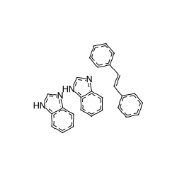 C(=Cc1ccccc1)c1ccccc1.c1ccc2[nH]cnc2c1.c1ccc2[nH]cnc2c1